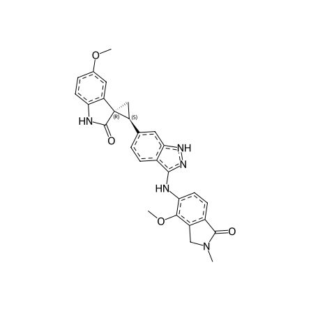 COc1ccc2c(c1)[C@]1(C[C@H]1c1ccc3c(Nc4ccc5c(c4OC)CN(C)C5=O)n[nH]c3c1)C(=O)N2